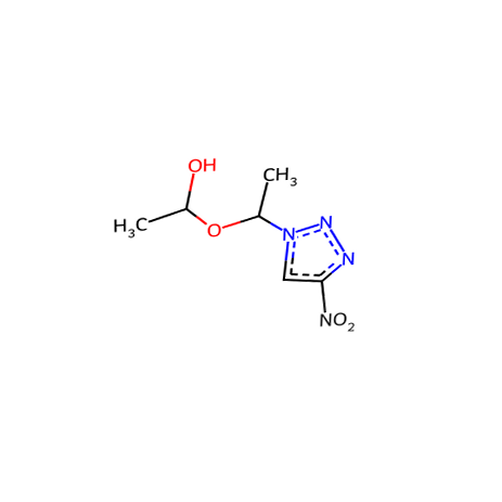 CC(O)OC(C)n1cc([N+](=O)[O-])nn1